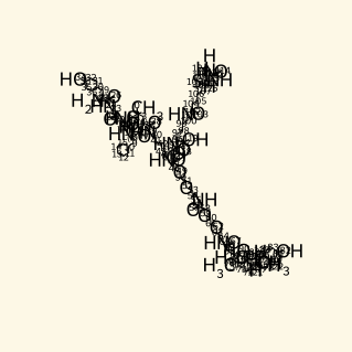 CC(C)C[C@H](NC(=O)[C@H](Cc1ccccc1)NC(=O)CNC(=O)CNC(=O)[C@@H](N)Cc1ccc(O)cc1)C(=O)NCCCC[C@H](NC(=O)COCCOCCNC(=O)COCCOCCNC(=O)CC[C@H](C)[C@H]1CC[C@H]2[C@@H]3CC[C@@H]4C[C@H](O)CC[C@]4(C)[C@H]3C[C@H](O)[C@]12C)C(=O)N[C@@H](CCCCNC(=O)CCCC[C@@H]1SC[C@@H]2NC(=O)N[C@@H]21)C(=O)O